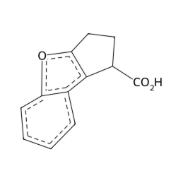 O=C(O)C1CCc2oc3ccccc3c21